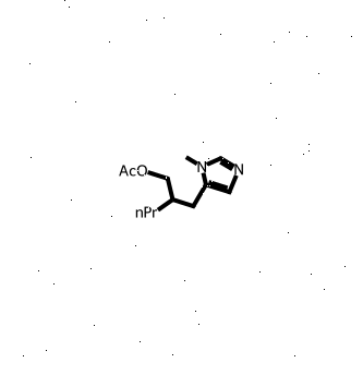 CCCC(COC(C)=O)Cc1cncn1C